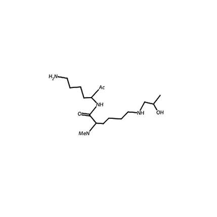 CNC(CCCCNCC(C)O)C(=O)NC(CCCCN)C(C)=O